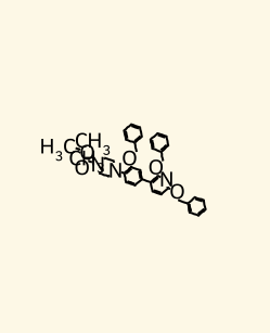 CC(C)(C)OC(=O)N1CCN(c2ccc(-c3ccc(OCc4ccccc4)nc3OCc3ccccc3)cc2OCc2ccccc2)CC1